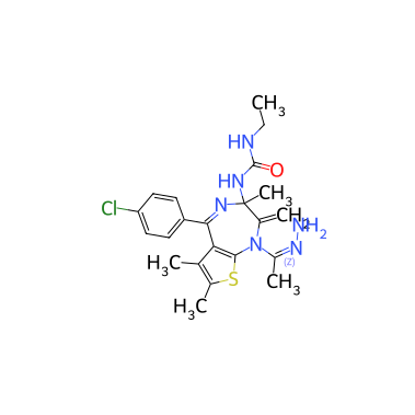 C=C1N(/C(C)=N\N)c2sc(C)c(C)c2C(c2ccc(Cl)cc2)=NC1(C)NC(=O)NCC